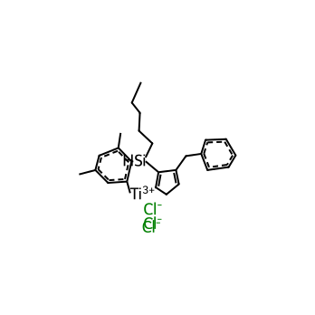 CCCCC[SiH](C1=[C]([Ti+3])CC=C1Cc1ccccc1)c1c(C)cc(C)cc1C.[Cl-].[Cl-].[Cl-]